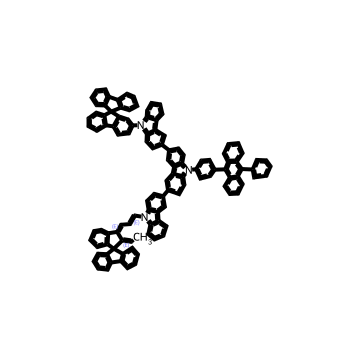 C\C=C1/C(=C\C=C\n2c3ccccc3c3cc(-c4ccc5c(c4)c4cc(-c6ccc7c(c6)c6ccccc6n7-c6ccc7c(c6)C6(c8ccccc8-c8ccccc86)c6ccccc6-7)ccc4n5-c4ccc(-c5c6ccccc6c(-c6ccccc6)c6ccccc56)cc4)ccc32)c2ccccc2C12c1ccccc1-c1ccccc12